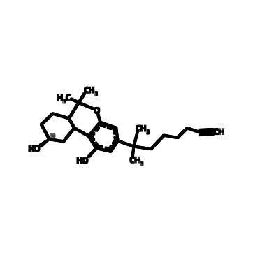 C#CCCCCC(C)(C)c1cc(O)c2c(c1)OC(C)(C)C1CC[C@H](O)CC21